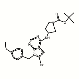 COc1ccc(Cn2c(Br)nc3c(NC4CCN(C(=O)OC(C)(C)C)C4)ncnc32)cc1